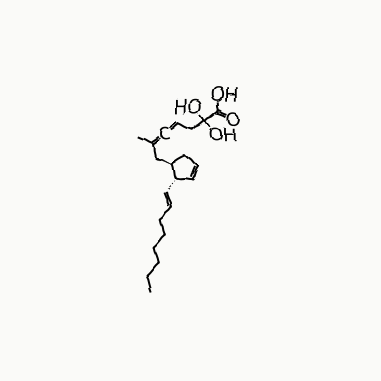 CCCCCCC=C[C@H]1C=CC[C@@H]1CC(C)=C=CCC(O)(O)C(=O)O